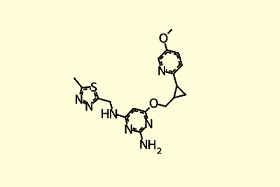 COc1ccc(C2CC2COc2cc(NCc3nnc(C)s3)nc(N)n2)nc1